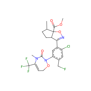 COC(=O)C12ON=C(c3cc(N4OCC=C(C(F)(F)F)N(C)C4=O)c(CF)cc3Cl)C1CCC2C